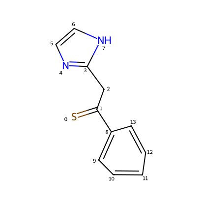 S=C(Cc1ncc[nH]1)c1ccccc1